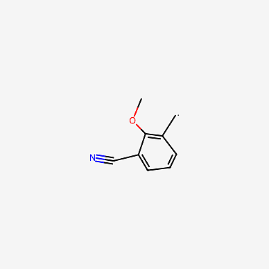 [CH2]c1cccc(C#N)c1OC